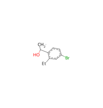 [CH2]C(O)c1ccc(Br)cc1CC